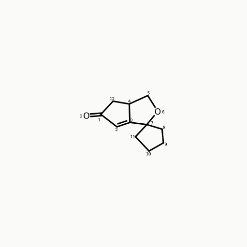 O=C1C=C2C(COC23CCCC3)C1